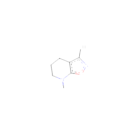 Cc1noc2c1CCCN2C